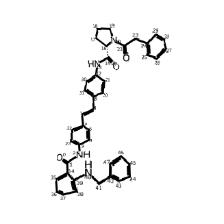 O=C(Nc1ccc(/C=C/c2ccc(NC(=O)[C@@H]3CCCN3C(=O)Cc3ccccc3)cc2)cc1)c1ccccc1NCc1ccccc1